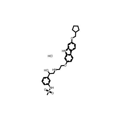 CS(=O)(=O)Nc1cccc(C(O)CNCCOc2ccc3c(c2)[nH]c2cc(OCC4CCCC4)ccc23)c1.Cl